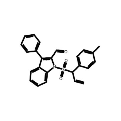 C=CC(c1ccc(C)cc1)S(=O)(=O)n1c(C=O)c(-c2ccccc2)c2ccccc21